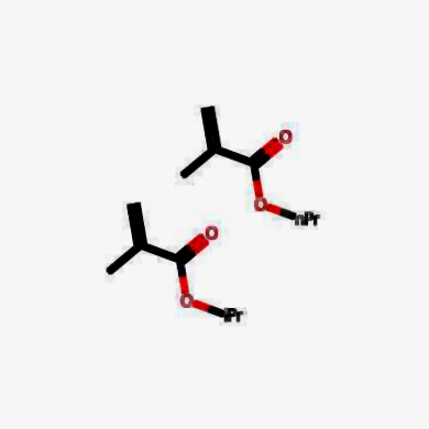 C=C(C)C(=O)OC(C)C.C=C(C)C(=O)OCCC